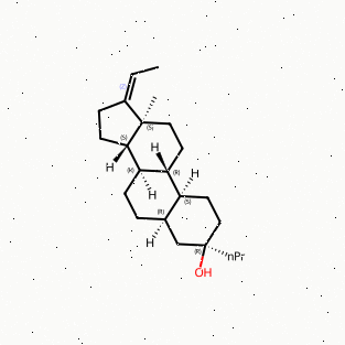 C/C=C1/CC[C@H]2[C@@H]3CC[C@@H]4C[C@@](O)(CCC)CC[C@@H]4[C@H]3CC[C@]12C